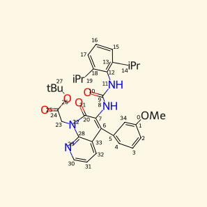 COc1cccc(-c2c(NC(=O)Nc3c(C(C)C)cccc3C(C)C)c(=O)n(CC(=O)OC(C)(C)C)c3ncccc23)c1